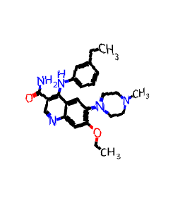 CCOc1cc2ncc(C(N)=O)c(Nc3cccc(CC)c3)c2cc1N1CCN(C)CC1